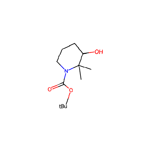 CC(C)(C)OC(=O)N1CCCC(O)C1(C)C